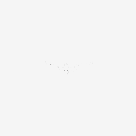 O=C1C2CCC(SCCSCCS)CC2C(O)N1CCCSCCSCCS